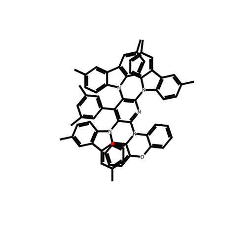 Cc1cc(C)cc(-c2c(-n3c4ccc(C)cc4c4cc(C)ccc43)c(N3c4ccccc4Oc4ccccc43)nc(-n3c4ccc(C)cc4c4cc(C)ccc43)c2-n2c3ccc(C)cc3c3cc(C)ccc32)c1